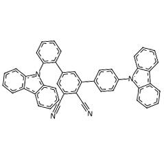 N#Cc1cc(-c2ccccc2-n2c3ccccc3c3ccccc32)cc(-c2ccc(-n3c4ccccc4c4ccccc43)cc2)c1C#N